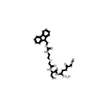 CC(C)CC(NC(=O)COCCNC(=O)OCC1c2ccccc2-c2ccccc21)C(=O)NC(CCC(=O)C=[N+]=[N-])C(=O)O